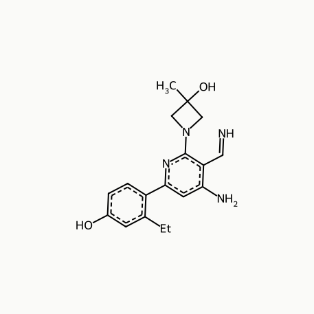 CCc1cc(O)ccc1-c1cc(N)c(C=N)c(N2CC(C)(O)C2)n1